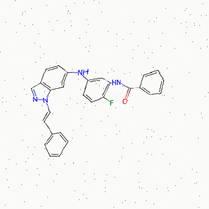 O=C(Nc1cc(Nc2ccc3cnn(C=Cc4ccccc4)c3c2)ccc1F)c1ccccc1